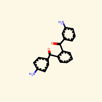 Nc1ccc(C(=O)c2ccccc2C(=O)c2cccc(N)c2)cc1